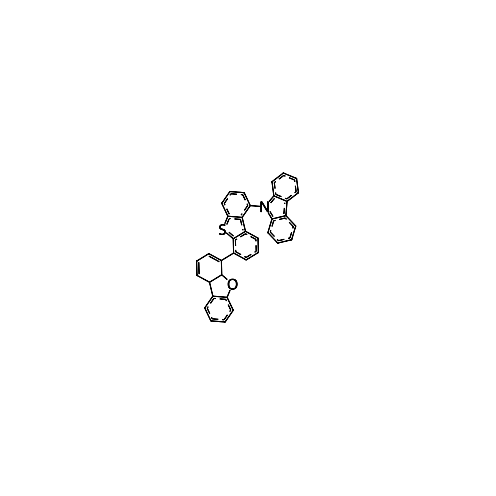 C1=CC2c3ccccc3OC2C(c2cccc3c2sc2cccc(-n4c5ccccc5c5ccccc54)c23)=C1